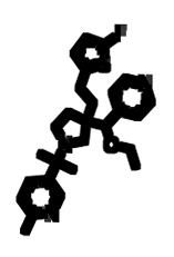 CCOC(c1ccncc1)C1(CCc2ccc(F)s2)CCN(C(C)(C)c2ccc(C)nc2)C1